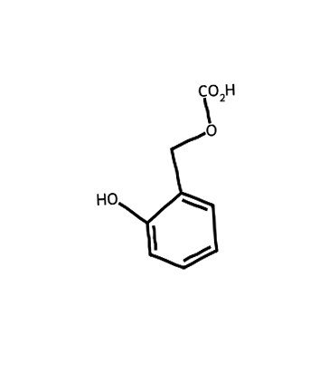 O=C(O)OCc1ccccc1O